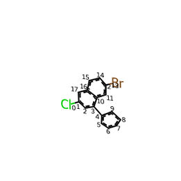 Clc1cc(-c2ccccc2)c2cc(Br)ccc2c1